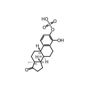 C[C@]12CC[C@@H]3c4ccc(OS(=O)(=O)O)c(O)c4CC[C@H]3[C@@H]1CCC2=O